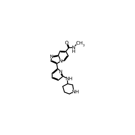 CNC(=O)c1ccn2c(-c3cccc(NC4CCCNC4)n3)cnc2c1